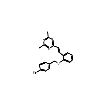 CCc1ccc(COc2ccccc2/C=C/c2nc(C)nc(C)n2)cc1